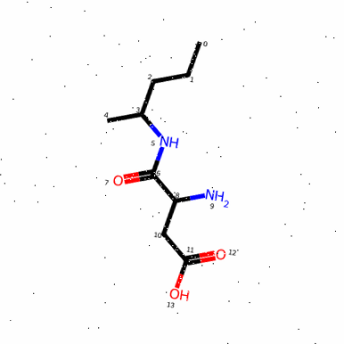 CCCC(C)NC(=O)C(N)CC(=O)O